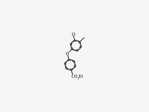 CCOC(=O)c1ccc(Oc2ccc(C)c(Cl)c2)cc1